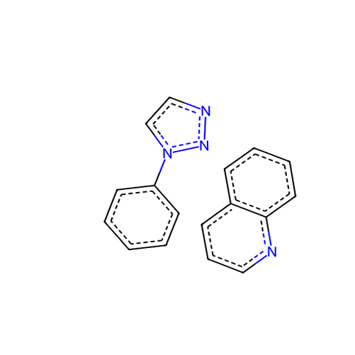 c1ccc(-n2ccnn2)cc1.c1ccc2ncccc2c1